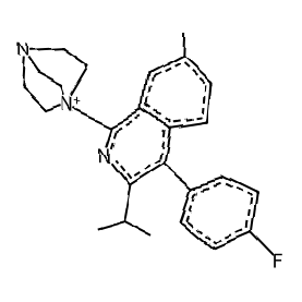 Cc1ccc2c(-c3ccc(F)cc3)c(C(C)C)nc([N+]34CCN(CC3)CC4)c2c1